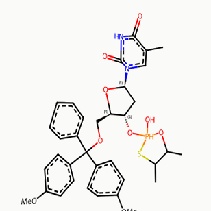 COc1ccc(C(OC[C@H]2O[C@@H](n3cc(C)c(=O)[nH]c3=O)C[C@@H]2O[PH]2(O)OC(C)C(C)S2)(c2ccccc2)c2ccc(OC)cc2)cc1